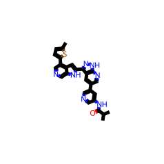 Cc1ccc(-c2cncc3[nH]c(-c4n[nH]c5ncc(-c6cncc(NC(=O)C(C)C)c6)cc45)cc23)s1